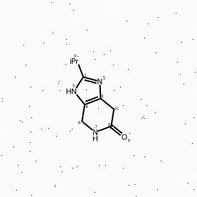 CC(C)c1nc2c([nH]1)CNC(=O)C2